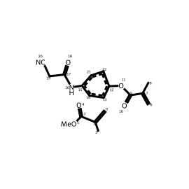 C=C(C)C(=O)OC.C=C(C)C(=O)Oc1ccc(NC(=O)CC#N)cc1